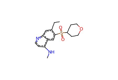 CCc1cc2nccc(NC)c2cc1S(=O)(=O)C1CCOCC1